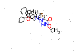 CCONC(=O)c1csc(N2CC(O[Si](c3ccccc3)(c3ccccc3)C(C)(C)C)C2)n1